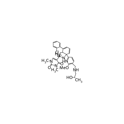 COc1nc(C2(NC(=O)c3cn(C)c(=O)n(C)c3=O)C=CC=C(c3ccccc3Cl)[C@@H]2C)ccc1CNCC(C)O